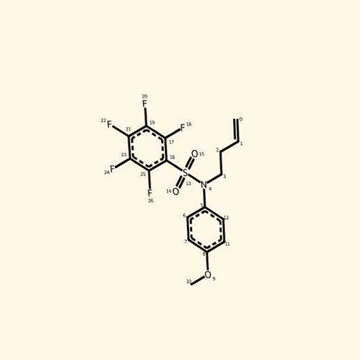 C=CCCN(c1ccc(OC)cc1)S(=O)(=O)c1c(F)c(F)c(F)c(F)c1F